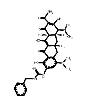 CN(C)c1cc(NC(=N)NCc2ccccc2)c(O)c2c1C[C@@]1(C)C[C@@]3(C)C(N(C)C)C(O)=C(C(N)=O)C(=O)[C@@]3(O)C(O)=C1C2=O